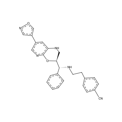 N#Cc1ccc(CCN[C@H](c2ccccc2)[C@@H]2CNc3cc(-c4cnoc4)cnc3O2)cc1